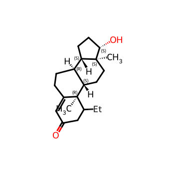 CCC1CC(=O)C=C2CC[C@H]3[C@@H]4CC[C@H](O)[C@@]4(C)CC[C@@H]3[C@]21C